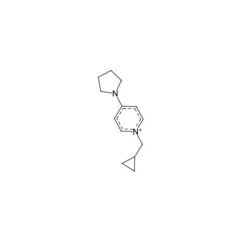 c1c[n+](CC2CC2)ccc1N1CCCC1